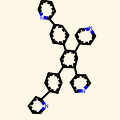 c1ccc(-c2ccc(-c3cc(-c4ccc(-c5ccccn5)cc4)c(-c4ccncc4)cc3-c3ccncc3)cc2)nc1